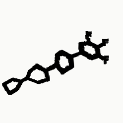 Fc1cc(-c2ccc(C3CCC(C4CCCC4)CC3)cc2)cc(F)c1F